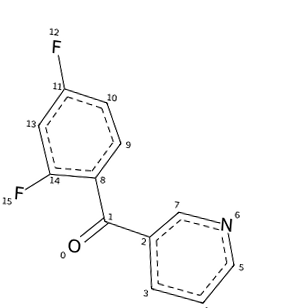 O=C(c1cccnc1)c1ccc(F)cc1F